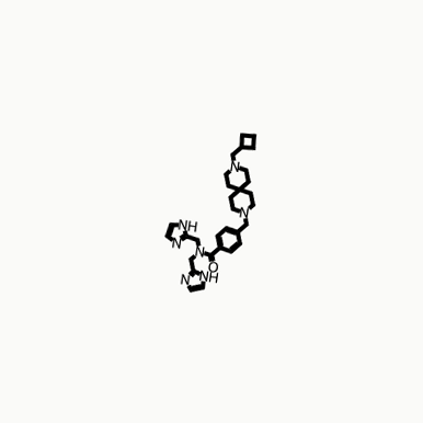 O=C(c1ccc(CN2CCC3(CC2)CCN(CC2CCC2)CC3)cc1)N(Cc1ncc[nH]1)Cc1ncc[nH]1